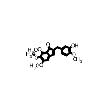 COc1ccc(CC2=Cc3cc(OC)c(OC)c(OC)c3C2=O)cc1O